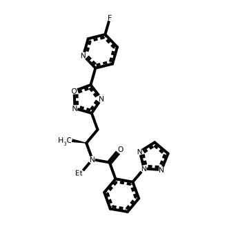 CCN(C(=O)c1ccccc1-n1nccn1)[C@@H](C)Cc1noc(-c2ccc(F)cn2)n1